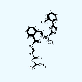 CC(C)OC(=O)OCOC(=O)c1ccccc1/C=N/N(C)c1nc(-c2ccccc2Cl)cs1